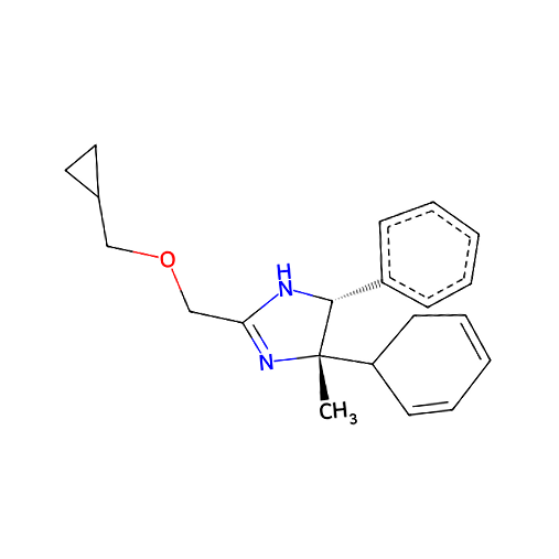 C[C@@]1(C2C=CC=CC2)N=C(COCC2CC2)N[C@@H]1c1ccccc1